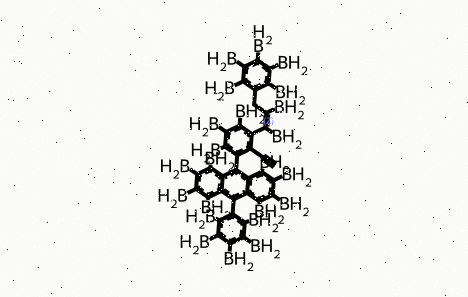 B/C(Cc1c(B)c(B)c(B)c(B)c1B)=C(\B)c1c(B)c(B)c(B)c(-c2c3c(B)c(B)c(B)c(B)c3c(-c3c(B)c(B)c(B)c(B)c3B)c3c(B)c(B)c(B)c(B)c23)c1C#C